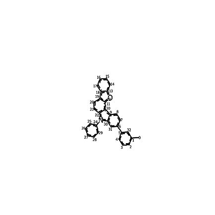 Cc1cccc(-c2ccc3c4c5oc6ccccc6c5ccc4n(-c4ccccc4)c3c2)c1